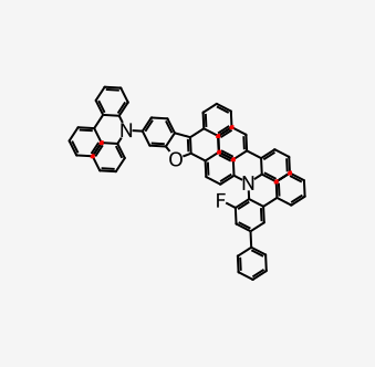 Fc1cc(-c2ccccc2)cc(-c2ccccc2)c1N(c1ccc2c(c1)c1ccccc1c1c3ccc(N(c4ccccc4)c4ccccc4-c4ccccc4)cc3oc21)c1ccccc1-c1ccccc1